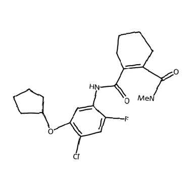 CNC(=O)C1=C(C(=O)Nc2cc(OC3CCCC3)c(Cl)cc2F)CCCC1